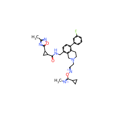 C/N=C(\O/N=C/CN1CCc2c(-c3cccc(F)c3)ccc(CNC(=O)C3CC3c3nc(C)no3)c2C1)C1CC1